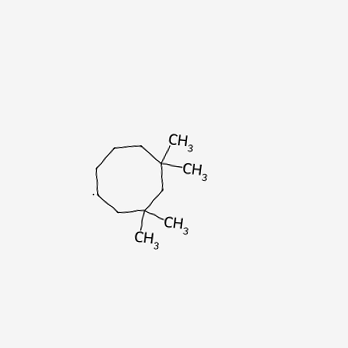 CC1(C)C[CH]CCCC(C)(C)C1